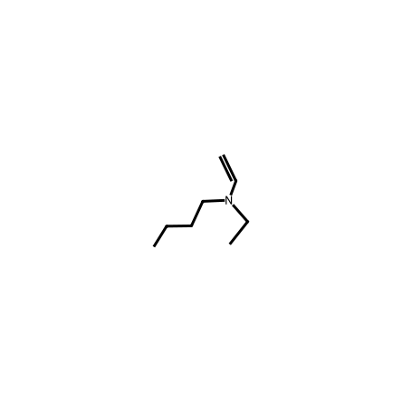 C=CN(CC)CCCC